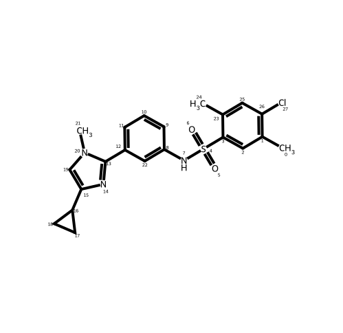 Cc1cc(S(=O)(=O)Nc2cccc(-c3nc(C4CC4)cn3C)c2)c(C)cc1Cl